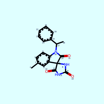 Cc1ccc2c(c1)C1(NC(=O)NC1=O)C(=O)N2C(C)c1ccccc1